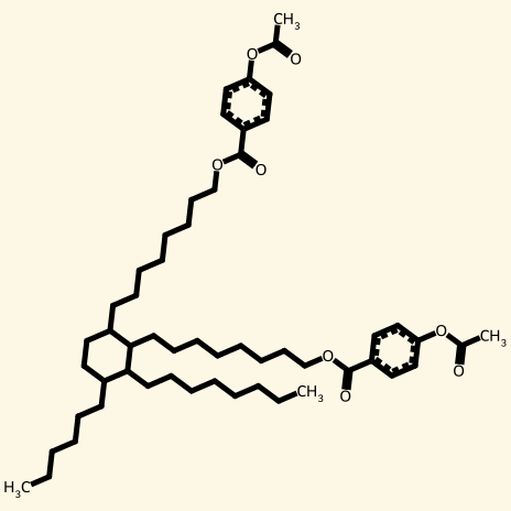 CCCCCCCCC1C(CCCCCC)CCC(CCCCCCCCOC(=O)c2ccc(OC(C)=O)cc2)C1CCCCCCCCOC(=O)c1ccc(OC(C)=O)cc1